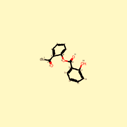 CC(C)(C)C(=O)c1ccccc1OC(=O)c1ccccc1O